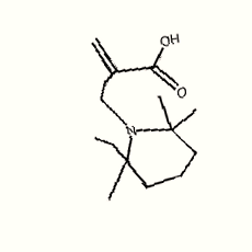 C=C(CN1C(C)(C)CCCC1(C)C)C(=O)O